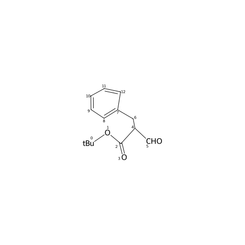 CC(C)(C)OC(=O)C(C=O)Cc1ccccc1